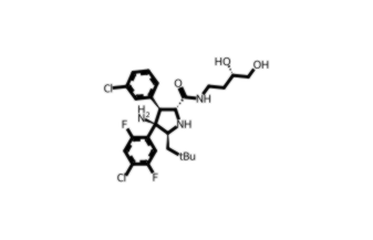 CC(C)(C)C[C@@H]1N[C@@H](C(=O)NCC[C@H](O)CO)[C@H](c2cccc(Cl)c2)[C@@]1(N)c1cc(F)c(Cl)cc1F